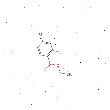 O=C(OCC(F)(F)F)c1ccc(Cl)cc1Cl